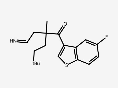 CC(C)(C)CCC(C)(CC=N)C(=O)c1csc2ccc(F)cc12